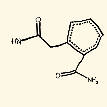 [NH]C(=O)Cc1ccccc1C(N)=O